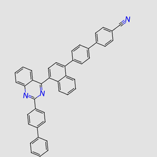 N#Cc1ccc(-c2ccc(-c3ccc(-c4nc(-c5ccc(-c6ccccc6)cc5)nc5ccccc45)c4ccccc34)cc2)cc1